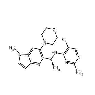 C[C@H](Nc1nc(N)ncc1Cl)c1nc2ccn(C)c2cc1N1CCOCC1